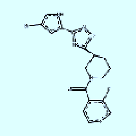 O=C(c1ccncc1F)N1CCC[C@H](c2nc(-c3cc(Br)c[nH]3)no2)C1